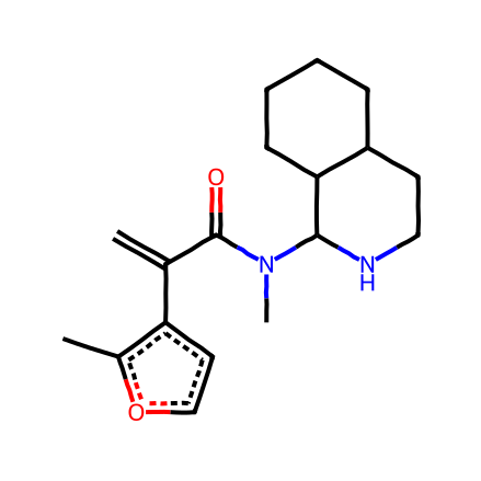 C=C(C(=O)N(C)C1NCCC2CCCCC21)c1ccoc1C